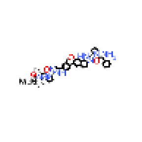 COC(=O)NC(C(=O)N1[C@@H](C)CC[C@H]1c1ncc(-c2ccc3c(c2)COc2cc4c(ccc5nc([C@@H]6CCCN6C(=O)[C@H](N)c6ccccc6)[nH]c54)cc2-3)[nH]1)C(C)C